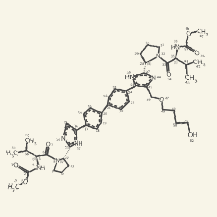 COC(=O)N[C@H](C(=O)N1CCC[C@H]1c1ncc(-c2ccc(-c3ccc(-c4[nH]c([C@@H]5CCCN5C(=O)[C@@H](NC(=O)OC)C(C)C)nc4COCCCCO)cc3)cc2)[nH]1)C(C)C